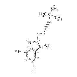 Cn1c(CCC#C[Si](C)(C)C)nc2c(F)cc(F)cc21